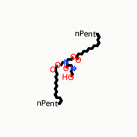 CCCCC/C=C\C/C=C\CCCCCCCC(=O)OCCN(CCOC1OC1CCCCCCC/C=C\C/C=C\CCCCC)C(=O)CN(C)CCO